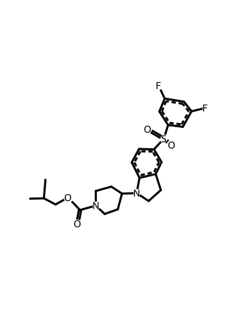 CC(C)COC(=O)N1CCC(N2CCc3cc(S(=O)(=O)c4cc(F)cc(F)c4)ccc32)CC1